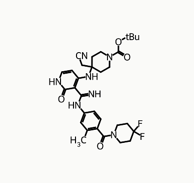 Cc1cc(NC(=N)c2c(NC3(CC#N)CCN(C(=O)OC(C)(C)C)CC3)cc[nH]c2=O)ccc1C(=O)N1CCC(F)(F)CC1